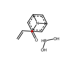 C=CC(=O)N1c2cccc1c2.OBO